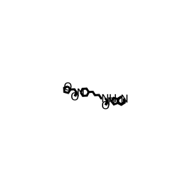 O=C(CC1CCCO1)N1CCC(CCCCNC(=O)N2Cc3ccncc3C2)CC1